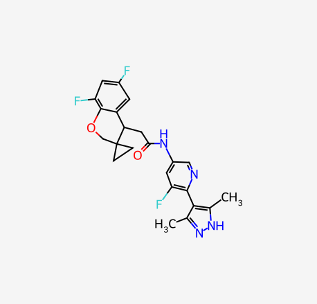 Cc1n[nH]c(C)c1-c1ncc(NC(=O)CC2c3cc(F)cc(F)c3OCC23CC3)cc1F